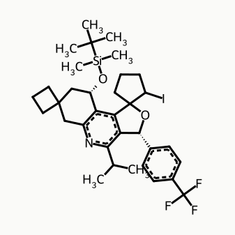 CC(C)c1nc2c(c3c1[C@@H](c1ccc(C(F)(F)F)cc1)OC31CCCC1I)[C@@H](O[Si](C)(C)C(C)(C)C)CC1(CCC1)C2